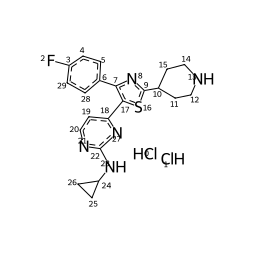 Cl.Cl.Fc1ccc(-c2nc(C3CCNCC3)sc2-c2ccnc(NC3CC3)n2)cc1